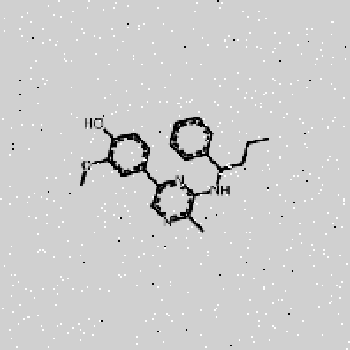 CCCC(Nc1nc(-c2ccc(O)c(OC)c2)cnc1C)c1ccccc1